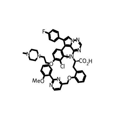 COc1ccccc1-c1nccc(COc2ccccc2C[C@@H](Nc2ncnn3cc(-c4ccc(F)cc4)c(-c4ccc(OCCN5CCN(C)CC5)c(Cl)c4C)c23)C(=O)O)n1